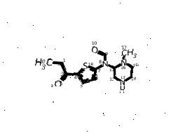 CCC(=O)c1ccc(N(C=O)C2CNCCN2C)s1